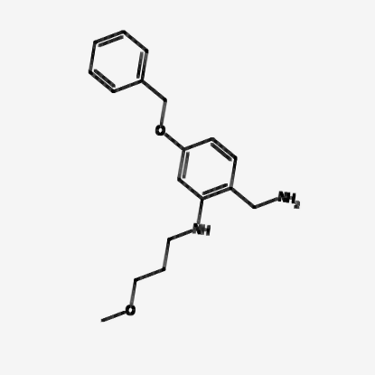 COCCCNc1cc(OCc2ccccc2)ccc1CN